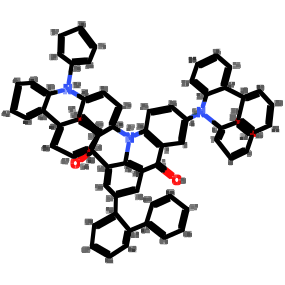 O=c1c2cc(N(c3ccccc3)c3ccccc3-c3ccccc3)ccc2n2c3ccc(N(c4ccccc4)c4ccccc4-c4ccccc4)cc3c(=O)c3cc(-c4ccccc4-c4ccccc4)cc1c32